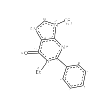 CCn1c(-c2ccccc2)nc2c(ncn2C(F)(F)F)c1=O